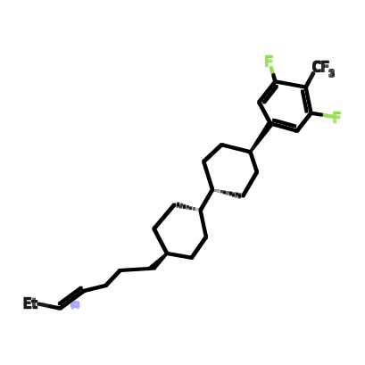 CC/C=C/CCC[C@H]1CC[C@H]([C@H]2CC[C@H](c3cc(F)c(C(F)(F)F)c(F)c3)CC2)CC1